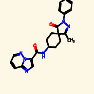 CC1=NN(c2ccccc2)C(=O)[C@]12CC[C@H](NC(=O)c1cnc3cccnn13)CC2